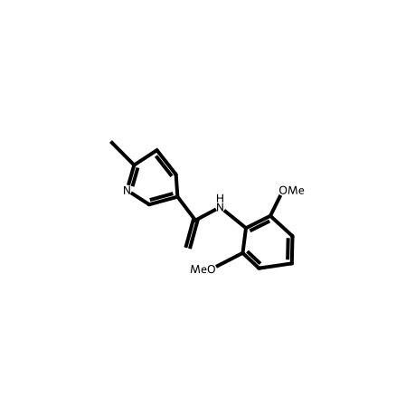 C=C(Nc1c(OC)cccc1OC)c1ccc(C)nc1